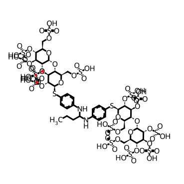 CCCC(Nc1ccc(S[C@@H]2O[C@H](COS(=O)(=O)O)[C@@H](O[C@H]3O[C@H](COS(=O)(=O)O)[C@@H](OS(=O)(=O)O)[C@H](OS(=O)(=O)O)[C@H]3OS(=O)(=O)O)[C@H](OS(=O)(=O)O)[C@H]2OS(=O)(=O)O)cc1)Nc1ccc(S[C@@H]2O[C@H](COS(=O)(=O)O)[C@@H](O[C@H]3O[C@H](COS(=O)(=O)O)[C@@H](OS(=O)(=O)O)[C@H](OS(=O)(=O)O)[C@H]3OS(=O)(=O)O)[C@H](OS(=O)(=O)O)[C@H]2OS(=O)(=O)O)cc1